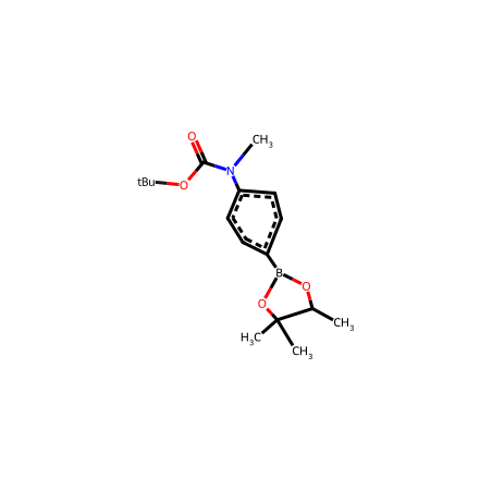 CC1OB(c2ccc(N(C)C(=O)OC(C)(C)C)cc2)OC1(C)C